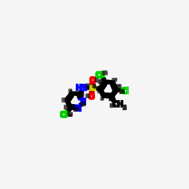 Cc1cc(S(=O)(=O)Nc2ccc(Cl)nn2)c(Cl)cc1Cl